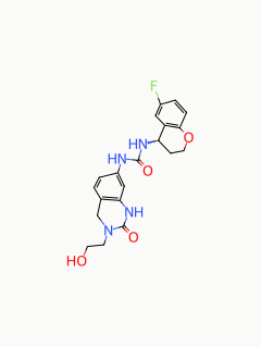 O=C(Nc1ccc2c(c1)NC(=O)N(CCO)C2)N[C@@H]1CCOc2ccc(F)cc21